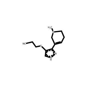 CN1CCC=C(c2n[nH]cc2SCCC#N)C1